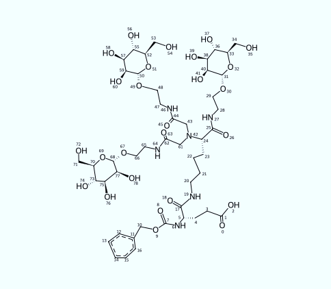 O=C(O)CC[C@H](NC(=O)OCc1ccccc1)C(=O)NCCCC[C@@H](C(=O)NCCO[C@H]1O[C@H](CO)[C@@H](O)[C@H](O)[C@@H]1O)N(CC(=O)NCCO[C@H]1O[C@H](CO)[C@@H](O)[C@H](O)[C@@H]1O)CC(=O)NCCO[C@H]1O[C@H](CO)[C@@H](O)[C@H](O)[C@@H]1O